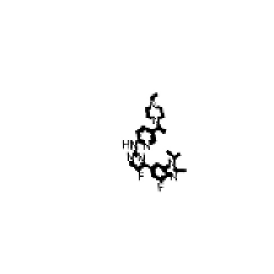 C=C(c1ccc(Nc2ncc(F)c(-c3cc(F)c4nc(C)n(C(C)C)c4c3)n2)nc1)N1CCN(CC)CC1